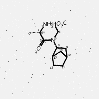 C[C@H](N)C(=O)N(CC(=O)O)C1CC2CCC1C2